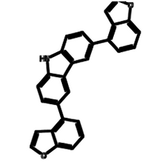 c1cc(-c2ccc3[nH]c4ccc(-c5cccc6occc56)cc4c3c2)c2ccoc2c1